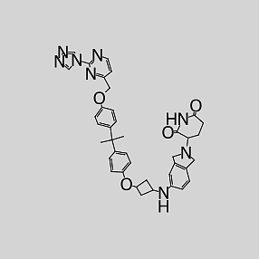 CC(C)(c1ccc(OCc2ccnc(-n3cnnc3)n2)cc1)c1ccc(OC2CC(Nc3ccc4c(c3)CN(C3CCC(=O)NC3=O)C4)C2)cc1